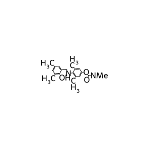 CNC(=O)Oc1cc(C)c(N=Cc2cc(C)cc(C)c2O)c(C)c1